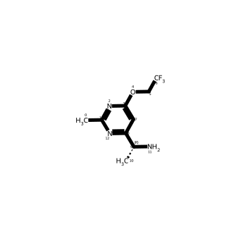 Cc1nc(OCC(F)(F)F)cc([C@@H](C)N)n1